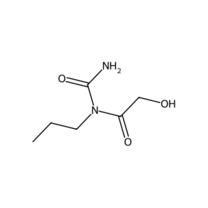 CCCN(C(N)=O)C(=O)CO